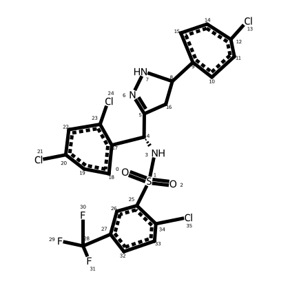 O=S(=O)(N[C@@H](C1=NNC(c2ccc(Cl)cc2)C1)c1ccc(Cl)cc1Cl)c1cc(C(F)(F)F)ccc1Cl